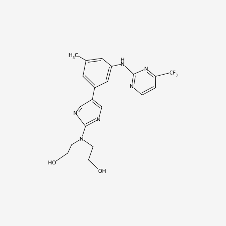 Cc1cc(Nc2nccc(C(F)(F)F)n2)cc(-c2cnc(N(CCO)CCO)nc2)c1